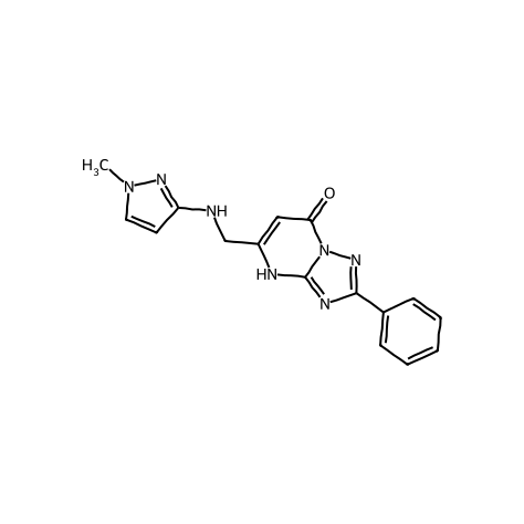 Cn1ccc(NCc2cc(=O)n3nc(-c4ccccc4)nc3[nH]2)n1